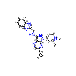 C[C@H]1C[C@H](n2nc(NCc3nc4ccccc4[nH]3)c3ncc(C4CC4)nc32)CCN1C